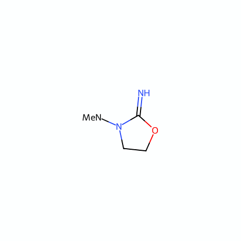 CNN1CCOC1=N